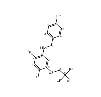 Cc1cc(F)c(NCc2ccc(F)cc2)cc1SCC(F)(F)F